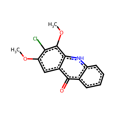 COc1cc2c(=O)c3ccccc3[nH]c2c(OC)c1Cl